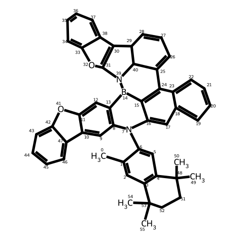 Cc1cc2c(cc1N1c3cc4c(cc3B3c5c1cc1ccccc1c5C1=CC=CC5c6c(oc7ccccc67)N3C15)oc1ccccc14)C(C)(C)CCC2(C)C